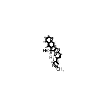 Cn1cc(-c2ccc3ncc([C@](C)(O)c4c(F)cc5ncccc5c4F)n3n2)cn1